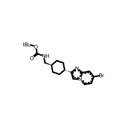 CC(C)(C)OC(=O)NC[C@H]1CC[C@H](c2cn3ccc(Br)cc3n2)CC1